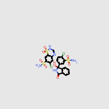 NS(=O)(=O)c1cc(C2(O)NC(=O)c3ccccc32)ccc1Cl.NS(=O)(=O)c1cc2c(cc1Cl)N=CNS2(=O)=O